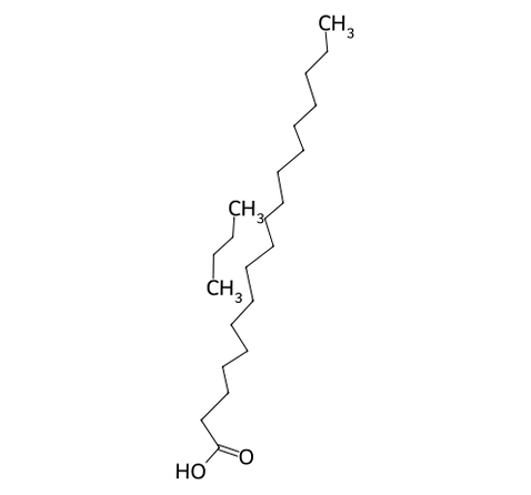 CCCC.CCCCCCCCCCCCCCCCCC(=O)O